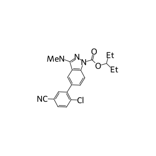 CCC(CC)OC(=O)n1nc(NC)c2cc(-c3cc(C#N)ccc3Cl)ccc21